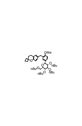 CCCCOC[C@H]1O[C@@H](c2ccc(OC)c(Cc3ccc4c(c3)CCC3(CCC3)O4)c2)[C@H](OCCCC)[C@@H](OCCCC)[C@@H]1OCCCC